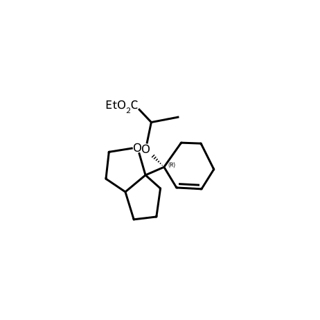 CCOC(=O)C(C)O[C@@]1(C23CCCC2CCO3)C=CCCC1